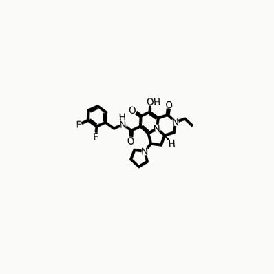 CCN1C[C@@H]2CC(N3CCCC3)c3c(C(=O)NCc4cccc(F)c4F)c(=O)c(O)c(n32)C1=O